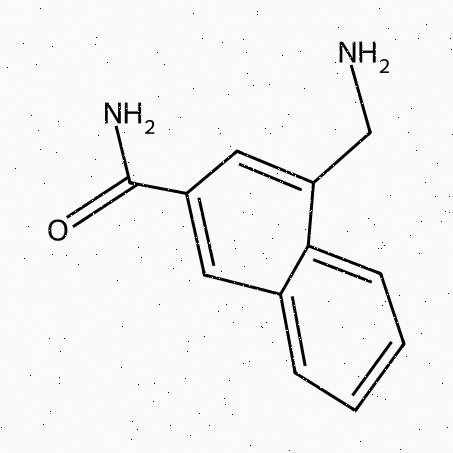 NCc1cc(C(N)=O)cc2ccccc12